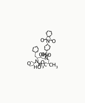 CC(C)CN(C[C@@H](O)[C@H](Cc1ccccc1)N(C(=O)O)[C@H]1CCOC1)S(=O)(=O)c1ccc(N2C(=O)c3ccccc3C2=O)cc1